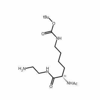 CC(=O)N[C@@H](CCCCNC(=O)OC(C)(C)C)C(=O)NCCN